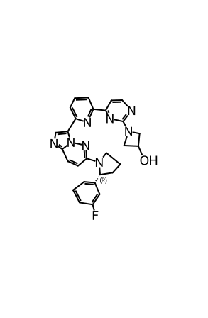 OC1CN(c2nccc(-c3cccc(-c4cnc5ccc(N6CCC[C@@H]6c6cccc(F)c6)nn45)n3)n2)C1